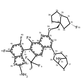 Nc1nc2c(-c3c(C(F)(F)F)cc4c(N5CC6CCC(C5)N6)nc(OC[C@@]56CCCN5C[C@H](F)C6)nc4c3F)c(F)cc(F)c2s1